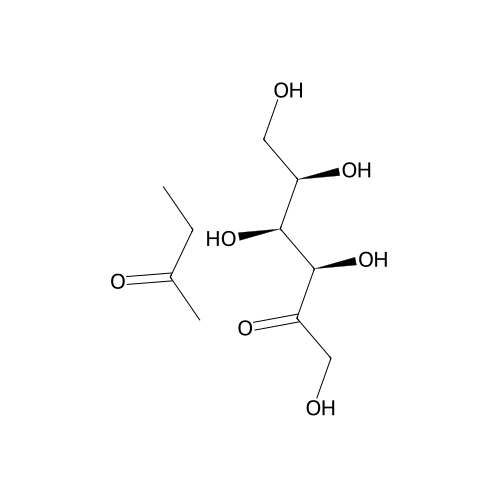 CCC(C)=O.O=C(CO)[C@H](O)[C@@H](O)[C@H](O)CO